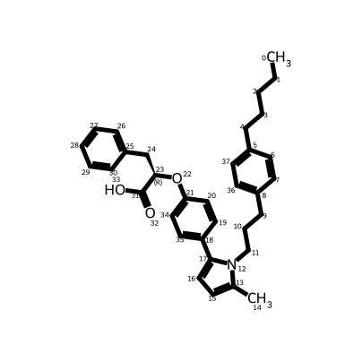 CCCCCc1ccc(CCCn2c(C)ccc2-c2ccc(O[C@H](Cc3ccccc3)C(=O)O)cc2)cc1